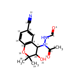 CC(=O)N(NC=O)C1c2cc(C#N)ccc2OC(C)(C)C1O